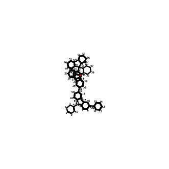 C1=CCCC(n2c3ccc(-c4ccccc4)cc3c3cc(-c4ccc5c(c4)c4ccccc4n5C4CCCCC4C4(c5ccccc5)c5ccccc5-c5ccccc54)ccc32)=C1